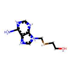 Nc1ncnc2c1ncn2CSCCO